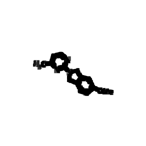 COc1ccc2c(c1)CN(c1nccc(C)n1)C2